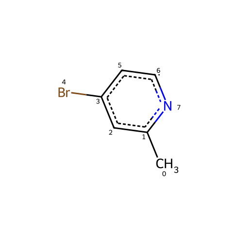 Cc1cc(Br)c[c]n1